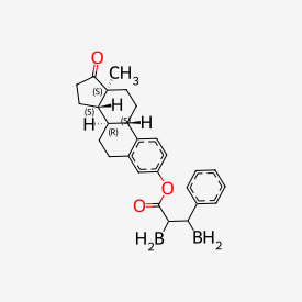 BC(C(=O)Oc1ccc2c(c1)CC[C@@H]1[C@@H]2CC[C@]2(C)C(=O)CC[C@@H]12)C(B)c1ccccc1